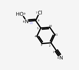 N#Cc1ccc(/C(Cl)=N/O)cc1